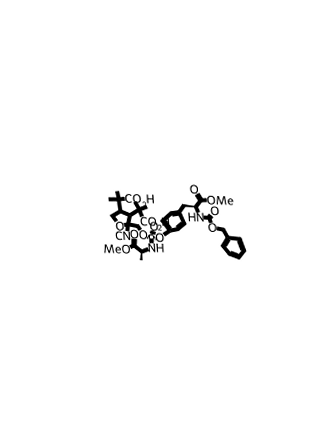 COC(=O)[C@H](C)NP(=O)(OCC1(C#N)OCC(C(C)(C)C(=O)O)C1C(C)(C)C(=O)O)Oc1ccc(C[C@H](NC(=O)OCc2ccccc2)C(=O)OC)cc1